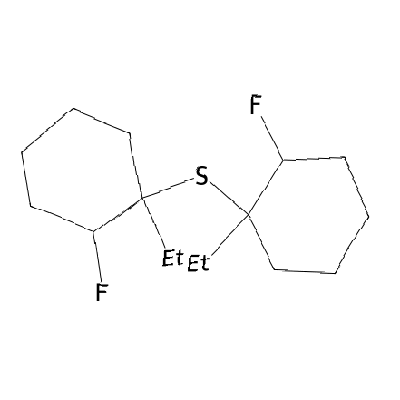 CCC1(SC2(CC)CCCCC2F)CCCCC1F